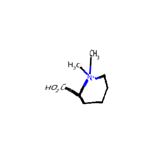 C[N+]1(C)CCCCC1C(=O)O